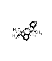 C[C@@H]1N(C)c2ccccc2N1CN1c2ccncc2N(C)[C@@H]1C